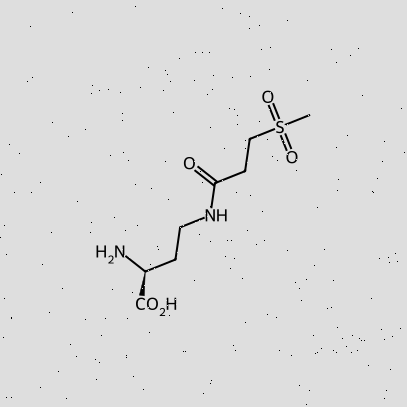 CS(=O)(=O)CCC(=O)NCC[C@H](N)C(=O)O